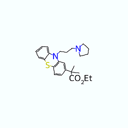 CCOC(=O)C(C)(C)c1ccc2c(c1)N(CCCN1CCCC1)c1ccccc1S2